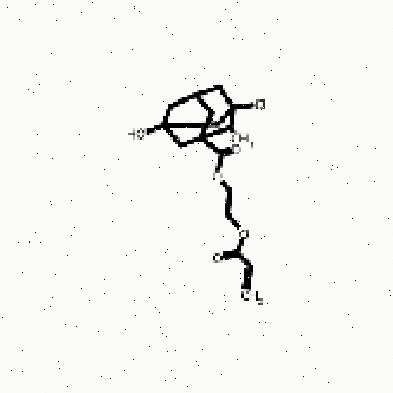 C=CC(=O)OCCOC(=O)C12CC3CC(O)(CC(Cl)(C3)C1C)C2